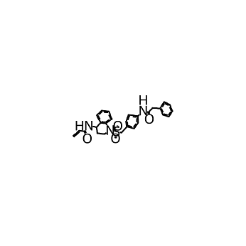 C=CC(=O)NC1CCN(S(=O)(=O)Cc2ccc(NC(=O)Cc3ccccc3)cc2)c2ccccc21